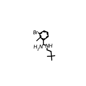 Cc1c(Br)cccc1[C@@H](N)NCCC(C)(C)C